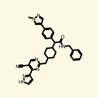 Cn1cc(-c2ccc(C(C(=O)NCc3ccccc3)C3CCC(Cc4ncc(C#N)c(-c5cc[nH]n5)n4)CC3)cc2)cn1